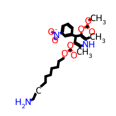 COC(=O)OC1=C(C)NC(C)=C(OC(=O)OCCCCCCCCCCCN)C1c1cccc([N+](=O)[O-])c1